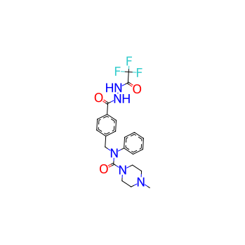 CN1CCN(C(=O)N(Cc2ccc(C(=O)NNC(=O)C(F)(F)F)cc2)c2ccccc2)CC1